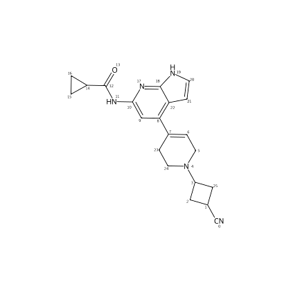 N#CC1CC(N2CC=C(c3cc(NC(=O)C4CC4)nc4[nH]ccc34)CC2)C1